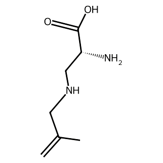 C=C(C)CNC[C@@H](N)C(=O)O